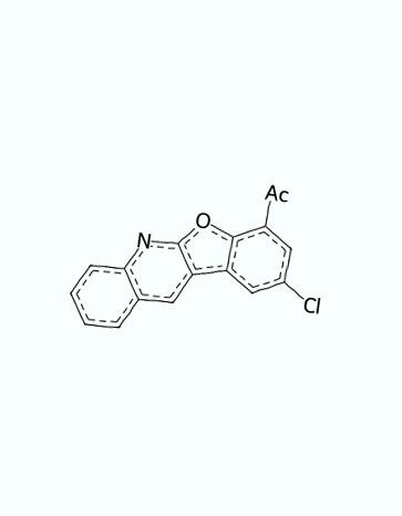 CC(=O)c1cc(Cl)cc2c1oc1nc3ccccc3cc12